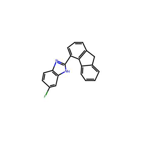 Fc1ccc2nc(-c3cccc4c3-c3ccccc3C4)[nH]c2c1